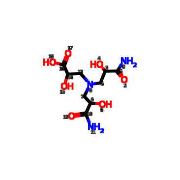 NC(=O)C(O)CN(CC(O)C(N)=O)CC(O)C(=O)O